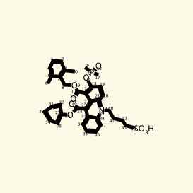 Cc1cccc(C)c1COC(=O)c1c(OP(C)(C)=O)ccc2c1c(C(=O)Oc1ccccc1)c1ccccc1[n+]2CCCCS(=O)(=O)O